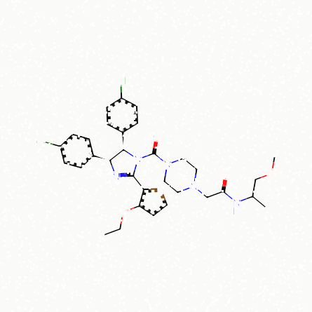 CCOc1ccsc1C1=N[C@@H](c2ccc(Cl)cc2)[C@@H](c2ccc(Cl)cc2)N1C(=O)N1CCN(CC(=O)NC(C)COC)CC1